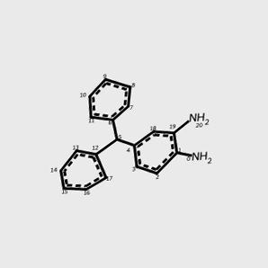 Nc1ccc(C(c2ccccc2)c2ccccc2)cc1N